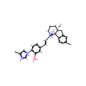 Cc1ccc2c(c1)C[C@@H]1CCCN3C(/C=C/c4ccc(-n5cnc(C)c5)c(O)c4)=NO[C@@]213